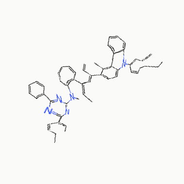 C=C/C=C(\C=C/CCC)n1c2ccccc2c2c(C)c(/C(C=C)=C/C(=C\C)C3=C(N(C)c4nc(C(/C=C\CC)=C/C)nc(-c5ccccc5)n4)C=C=CC=C3)ccc21